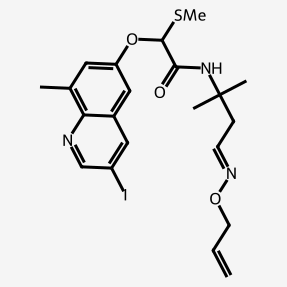 C=CCON=CCC(C)(C)NC(=O)C(Oc1cc(C)c2ncc(I)cc2c1)SC